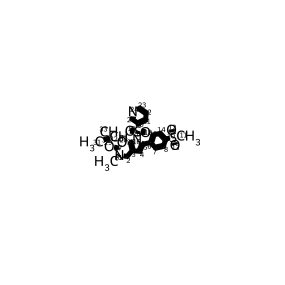 CN(Cc1cc(-c2ccc(S(C)(=O)=O)cc2)n(S(=O)(=O)c2cccnc2)c1)C(=O)OC(C)(C)C